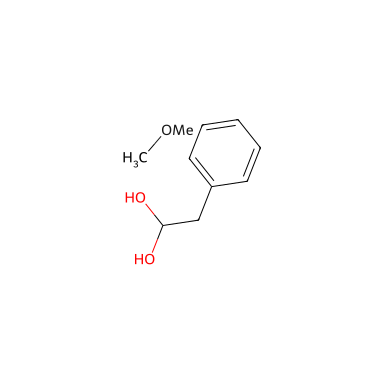 COC.OC(O)Cc1ccccc1